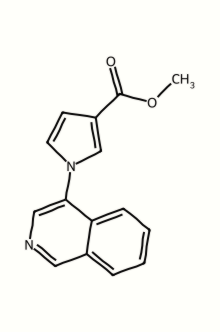 COC(=O)c1ccn(-c2cncc3ccccc23)c1